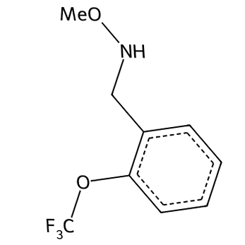 CONCc1ccccc1OC(F)(F)F